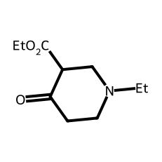 [CH2]CN1CCC(=O)C(C(=O)OCC)C1